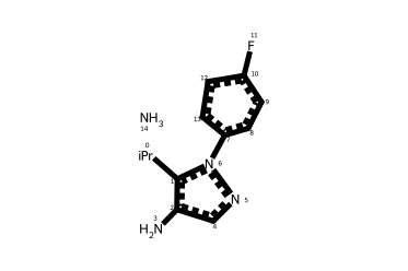 CC(C)c1c(N)cnn1-c1ccc(F)cc1.N